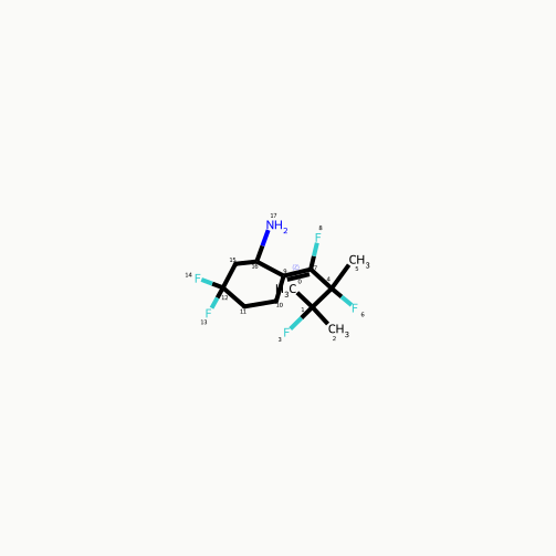 CC(C)(F)C(C)(F)/C(F)=C1\CCC(F)(F)CC1N